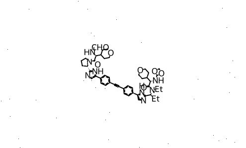 CC[C@@H](c1ncc(-c2ccc(C#Cc3ccc(-c4cnc([C@@H]5CCCN5C(=O)[C@@H](NC=O)C5CCOCC5)[nH]4)cc3)cc2)[nH]1)N(CC)C(=O)[C@@H](NC1OCO1)C1CCOCC1